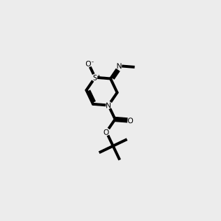 CN=C1CN(C(=O)OC(C)(C)C)C=C[S+]1[O-]